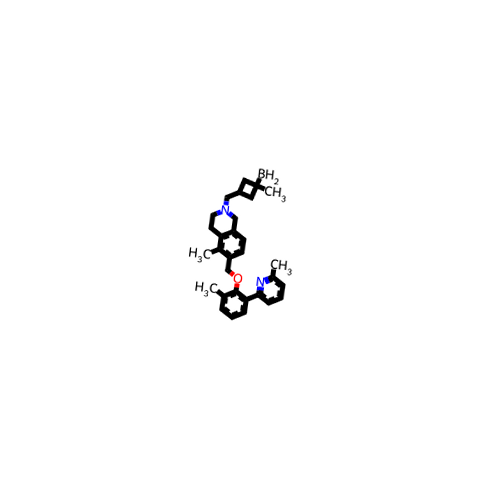 BC1(C)CC(CN2CCc3c(ccc(COc4c(C)cccc4-c4cccc(C)n4)c3C)C2)C1